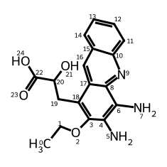 CCOc1c(N)c(N)c2nc3ccccc3cc2c1CC(O)C(=O)O